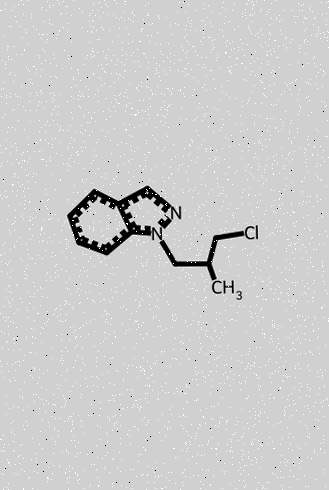 CC(CCl)Cn1ncc2ccccc21